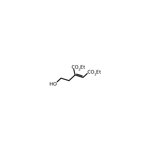 CCOC(=O)/C=C(/CCO)C(=O)OCC